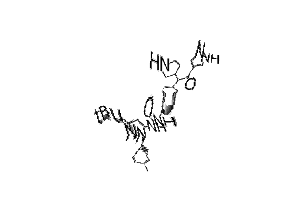 Cc1ccc(-n2nc(C(C)(C)C)cc2NC(=O)Nc2ccc(C(C(=O)c3cn[nH]c3)C3CCNCC3)cc2)cc1